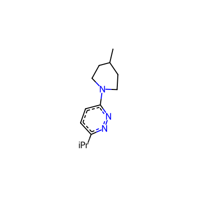 CC1CCN(c2ccc(C(C)C)nn2)CC1